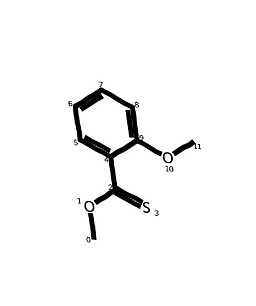 COC(=S)c1ccccc1OC